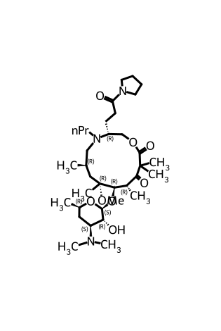 CCCN1C[C@H](C)C[C@@](C)(OC)[C@H](O[C@@H]2O[C@H](C)C[C@H](N(C)C)[C@H]2O)[C@@H](C)C(=O)C(C)(C)C(=O)OC[C@H]1CCC(=O)N1CCCC1